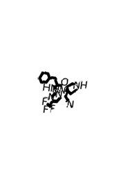 N#CCC1(NC(=O)C(CC2CCCCC2)Nc2nccc(C(F)(F)F)n2)CCNCC1